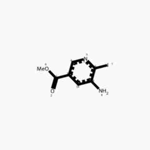 COC(=O)c1cnc(I)c(N)c1